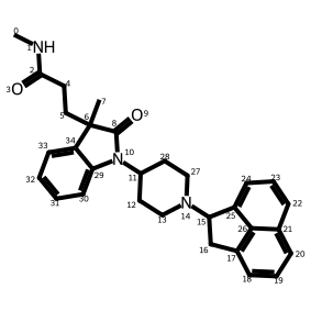 CNC(=O)CCC1(C)C(=O)N(C2CCN(C3Cc4cccc5cccc3c45)CC2)c2ccccc21